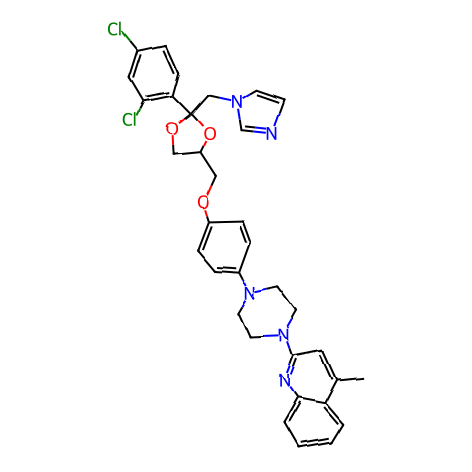 Cc1cc(N2CCN(c3ccc(OCC4COC(Cn5ccnc5)(c5ccc(Cl)cc5Cl)O4)cc3)CC2)nc2ccccc12